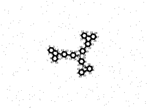 c1ccc2c(c1)cc(-c1ccc(-c3ccc(N(c4ccc(-c5ccc6c7ccccc7c7ccccc7c6c5)cc4)c4ccc(-n5c6ccccc6c6ccccc65)cc4)cc3)cc1)c1ccccc12